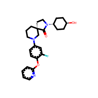 O=C1N([C@H]2CC[C@H](O)CC2)CC[C@]12CCCN(c1ccc(Oc3ccccn3)c(F)c1)C2